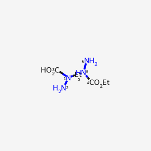 CCN(N)C(=O)O.CCOC(=O)NN